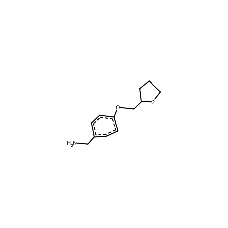 NCc1ccc(OCC2CCCO2)cc1